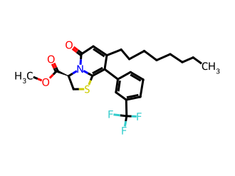 CCCCCCCCc1cc(=O)n2c(c1-c1cccc(C(F)(F)F)c1)SC[C@H]2C(=O)OC